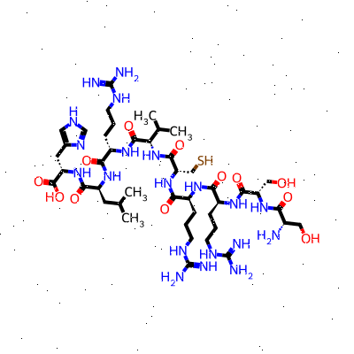 CC(C)C[C@H](NC(=O)[C@H](CCCNC(=N)N)NC(=O)[C@@H](NC(=O)[C@H](CS)NC(=O)[C@H](CCCNC(=N)N)NC(=O)[C@H](CCCNC(=N)N)NC(=O)[C@H](CO)NC(=O)[C@@H](N)CO)C(C)C)C(=O)N[C@@H](Cc1c[nH]cn1)C(=O)O